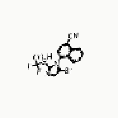 N#Cc1ccc(-n2c(Br)cnc2SC(F)(F)C(=O)O)c2ccccc12